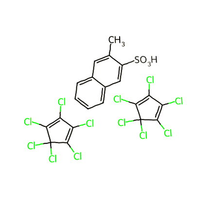 Cc1cc2ccccc2cc1S(=O)(=O)O.ClC1=C(Cl)C(Cl)(Cl)C(Cl)=C1Cl.ClC1=C(Cl)C(Cl)(Cl)C(Cl)=C1Cl